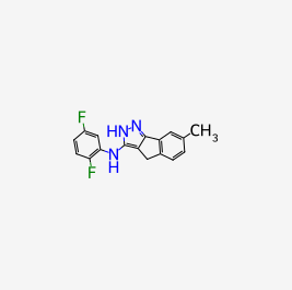 Cc1ccc2c(c1)-c1n[nH]c(Nc3cc(F)ccc3F)c1C2